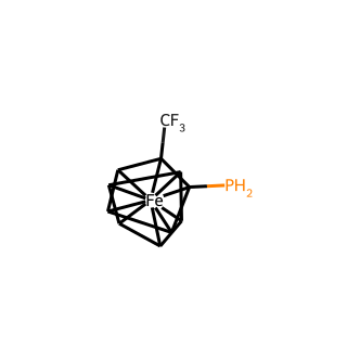 FC(F)(F)[C]12[CH]3[CH]4[CH]5[C]1(P)[Fe]45321678[CH]2[CH]1[CH]6[CH]7[CH]28